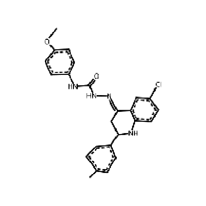 COc1ccc(NC(=O)NN=C2CC(c3ccc(C)cc3)Nc3ccc(Cl)cc32)cc1